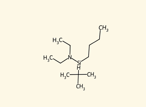 CCCC[SiH](N(CC)CC)C(C)(C)C